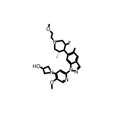 COCCN1CC(F)C(c2cc3c(cnn3-c3cc(N4CC(O)C4)c(OC)cn3)cc2C)[C@H](C)C1